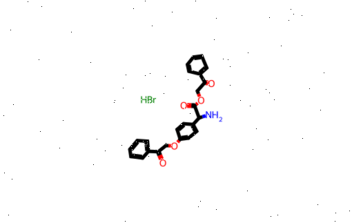 Br.NC(C(=O)OCC(=O)c1ccccc1)c1ccc(OCC(=O)c2ccccc2)cc1